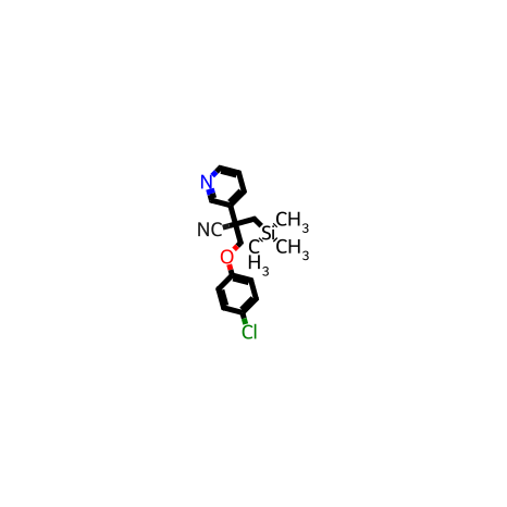 C[Si](C)(C)CC(C#N)(COc1ccc(Cl)cc1)c1cccnc1